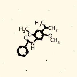 COc1cc(C(C)C)c(OC)cc1NC(=O)c1ccccc1